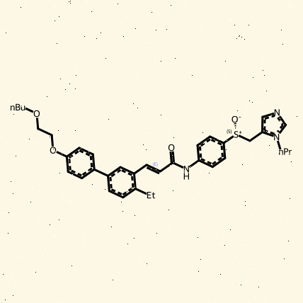 CCCCOCCOc1ccc(-c2ccc(CC)c(/C=C/C(=O)Nc3ccc([S@+]([O-])Cc4cncn4CCC)cc3)c2)cc1